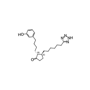 O=C1CC[C@H](CCCCCCc2nn[nH]n2)[C@H]1CCCCc1cccc(O)c1